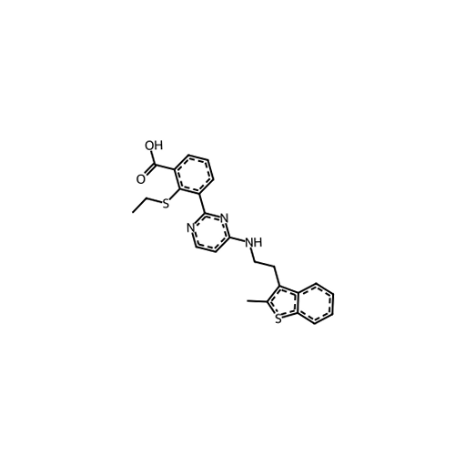 CCSc1c(C(=O)O)cccc1-c1nccc(NCCc2c(C)sc3ccccc23)n1